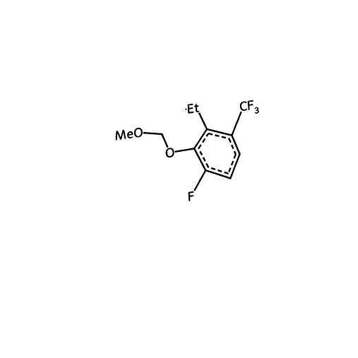 C[CH]c1c(C(F)(F)F)ccc(F)c1OCOC